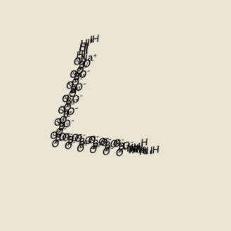 I.I.I.I.I.I.I.I.I.I.N.N.[Na+].[O-]B([O-])[O-].[O-]B([O-])[O-].[O-]B([O-])[O-].[O-]B([O-])[O-].[O-]B([O-])[O-].[O-]B([O-])[O-].[O-]B([O-])[O-].[O-]B([O-])[O-].[O-]B([O-])[O-].[O-]B([O-])[O-].[O-]B([O-])[O-].[O-]B([O-])[O-]